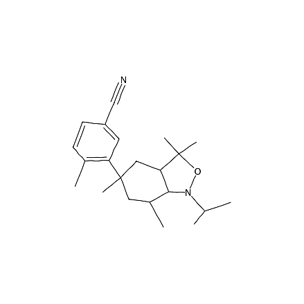 Cc1ccc(C#N)cc1C1(C)CC(C)C2C(C1)C(C)(C)ON2C(C)C